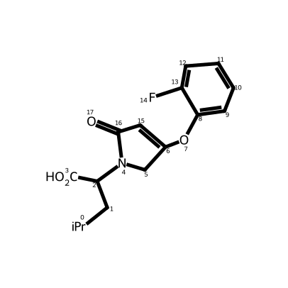 CC(C)CC(C(=O)O)N1CC(Oc2ccccc2F)=CC1=O